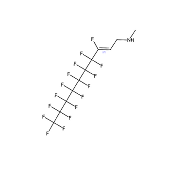 CNC/C=C(\F)C(F)(F)C(F)(F)C(F)(F)C(F)(F)C(F)(F)C(F)(F)C(F)(F)F